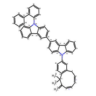 C=C1/C=C\C=C/Cc2cc(-n3c4ccccc4c4cc(-c5ccc6c(c5)c5ccccc5n6-c5ccccc5-c5ccccc5)ccc43)ccc2C1(C)C